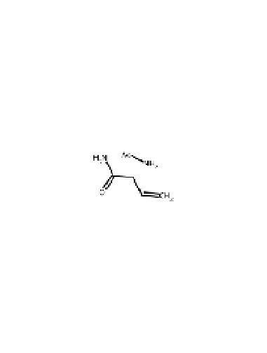 C=CCC(N)=O.CC(N)=O